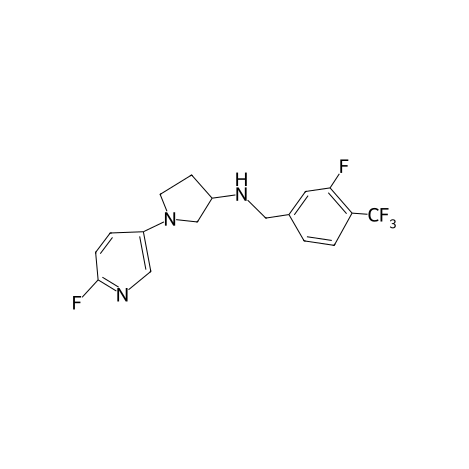 Fc1ccc(N2CCC(NCc3ccc(C(F)(F)F)c(F)c3)C2)cn1